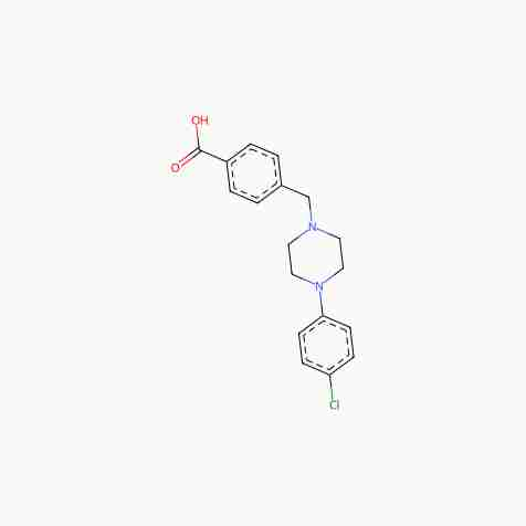 O=C(O)c1ccc(CN2CCN(c3ccc(Cl)cc3)CC2)cc1